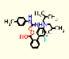 Cc1ccc(NC(=O)Nc2cc(-c3ccccc3C(=O)O)c(F)cc2N(CC(C)C)CC(C)C)cc1